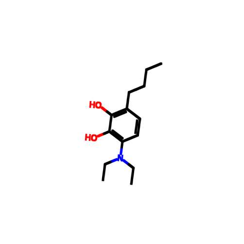 CCCCc1ccc(N(CC)CC)c(O)c1O